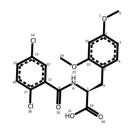 COc1ccc(C[C@H](NC(=O)c2cc(Cl)ccc2Cl)C(=O)O)c(OC)c1